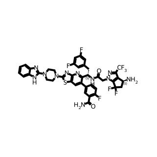 NC(=O)c1cc(-c2cc3sc(N4CCN(c5nc6ccccc6[nH]5)CC4)nc3nc2[C@H](Cc2cc(F)cc(F)c2)NC(=O)Cn2nc(C(F)(F)F)c3c2C(F)(F)C[C@@H]3N)ccc1F